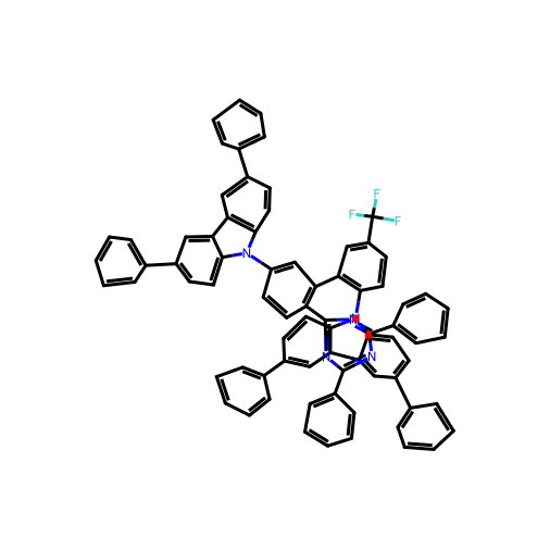 FC(F)(F)c1ccc(-n2c3ccc(-c4ccccc4)cc3c3cc(-c4ccccc4)ccc32)c(-c2cc(-n3c4ccc(-c5ccccc5)cc4c4cc(-c5ccccc5)ccc43)ccc2-c2nc(-c3ccccc3)nc(-c3ccccc3)n2)c1